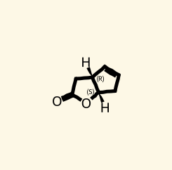 O=C1C[C@@H]2C=CC[C@@H]2O1